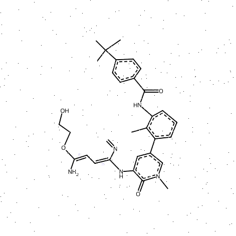 C=N/C(=C\C=C(/N)OCCO)Nc1cc(-c2cccc(NC(=O)c3ccc(C(C)(C)C)cc3)c2C)cn(C)c1=O